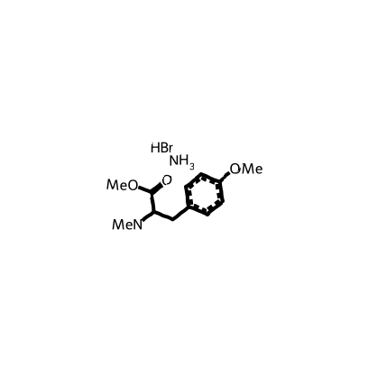 Br.CNC(Cc1ccc(OC)cc1)C(=O)OC.N